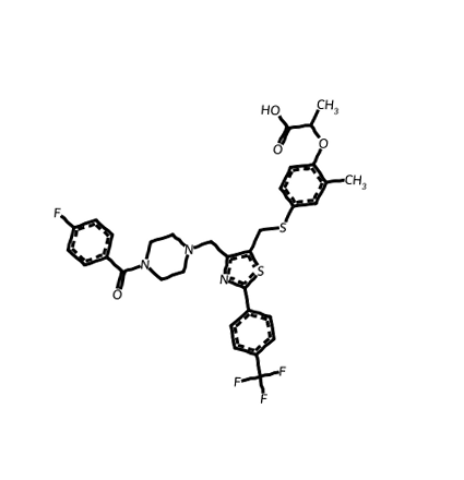 Cc1cc(SCc2sc(-c3ccc(C(F)(F)F)cc3)nc2CN2CCN(C(=O)c3ccc(F)cc3)CC2)ccc1OC(C)C(=O)O